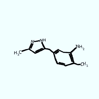 Cc1cc(-c2ccc(C)c(N)c2)[nH]n1